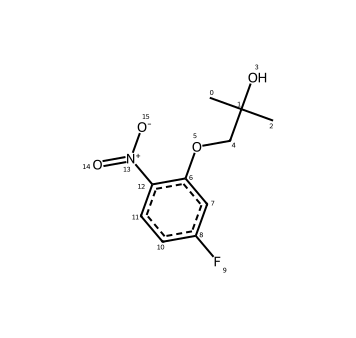 CC(C)(O)COc1cc(F)ccc1[N+](=O)[O-]